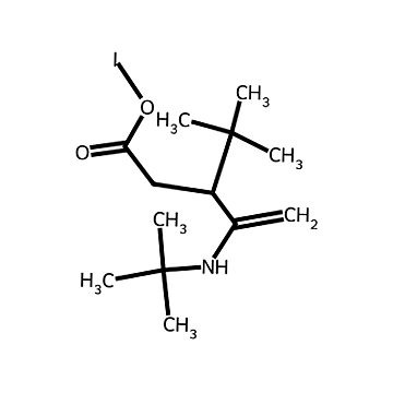 C=C(NC(C)(C)C)C(CC(=O)OI)C(C)(C)C